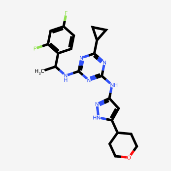 CC(Nc1nc(Nc2cc(C3CCOCC3)[nH]n2)nc(C2CC2)n1)c1ccc(F)cc1F